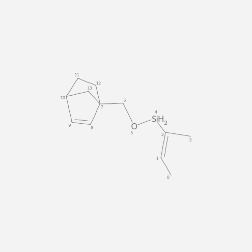 CC=C(C)[SiH2]OCC12C=CC(CC1)C2